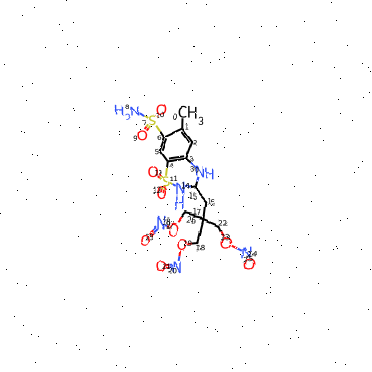 Cc1cc2c(cc1S(N)(=O)=O)S(=O)(=O)NC(CC(CON=O)(CON=O)CON=O)N2